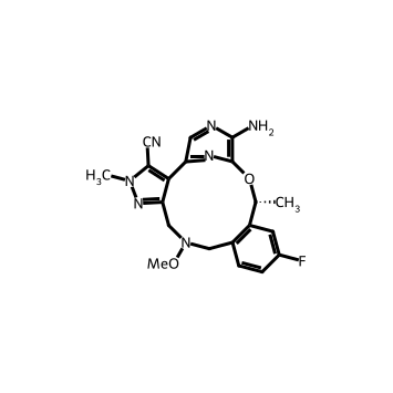 CON1Cc2ccc(F)cc2[C@@H](C)Oc2nc(cnc2N)-c2c(nn(C)c2C#N)C1